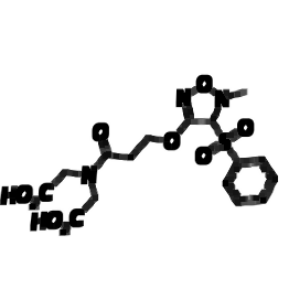 CN1ON=C(OCCC(=O)N(CC(=O)O)CC(=O)O)C1S(=O)(=O)c1ccccc1